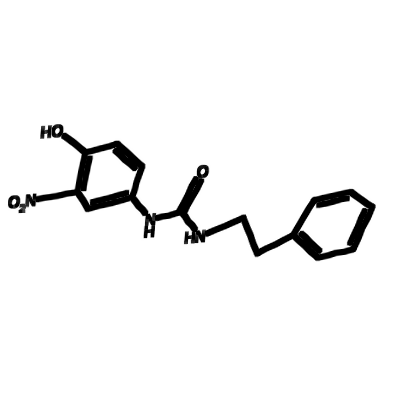 O=C(NCCc1ccccc1)Nc1ccc(O)c([N+](=O)[O-])c1